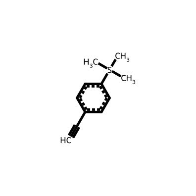 C#Cc1ccc(S(C)(C)C)cc1